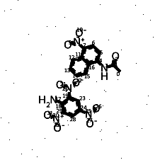 CC(=O)Nc1ccc([N+](=O)[O-])c2ccccc12.Nc1c([N+](=O)[O-])cc([N+](=O)[O-])cc1[N+](=O)[O-]